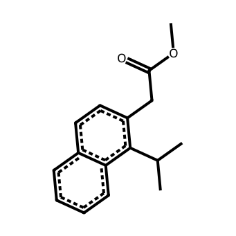 COC(=O)Cc1ccc2ccccc2c1C(C)C